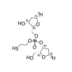 [3H][C@H]1C[C@@H](O)[C@@H](CO[P@](=O)(OCCS)O[C@@H]2C[C@H]([3H])O[C@@H]2CO)O1